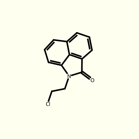 O=C1c2cccc3cccc(c23)N1CCCl